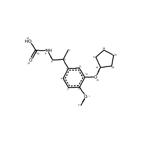 COc1ccc(C(C)CNC(=O)O)cc1OC1CCCC1